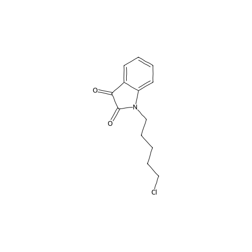 O=C1C(=O)N(CCCCCCl)c2ccccc21